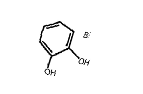 Oc1ccccc1O.[B]